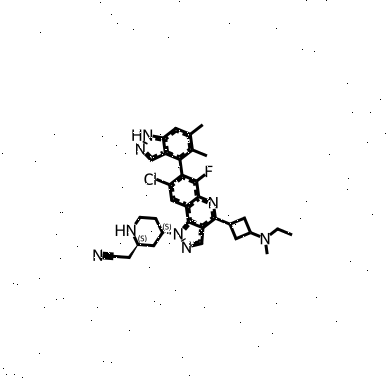 CCN(C)C1CC(c2nc3c(F)c(-c4c(C)c(C)cc5[nH]ncc45)c(Cl)cc3c3c2cnn3[C@H]2CCN[C@H](CC#N)C2)C1